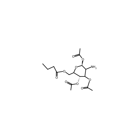 CCCC(=O)OCC1O[C@@H](OC(C)=O)C(N)C(OC(C)=O)[C@@H]1OC(C)=O